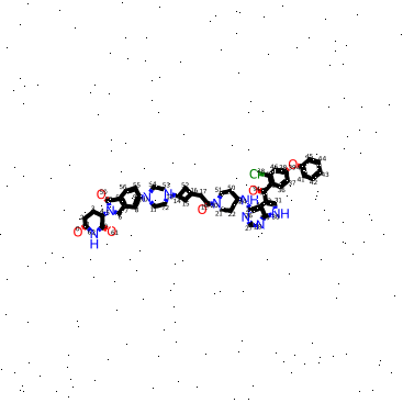 O=C1CCC(N2Cc3cc(N4CCN(C5CC(CC(=O)N6CCC(Nc7ncnc8[nH]cc(C(=O)c9ccc(Oc%10ccccc%10)cc9Cl)c78)CC6)C5)CC4)ccc3C2=O)C(=O)N1